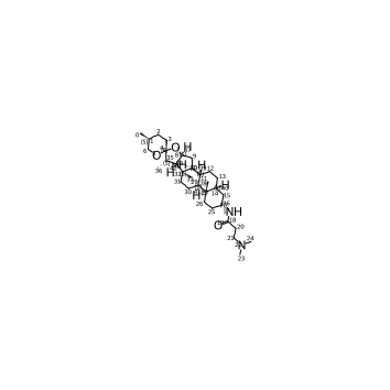 C[C@H]1CC[C@@]2(OC1)O[C@H]1C[C@H]3[C@@H]4CC[C@@H]5C[C@H](NC(=O)CCN(C)C)CC[C@]5(C)[C@H]4CC[C@]3(C)[C@H]1[C@@H]2C